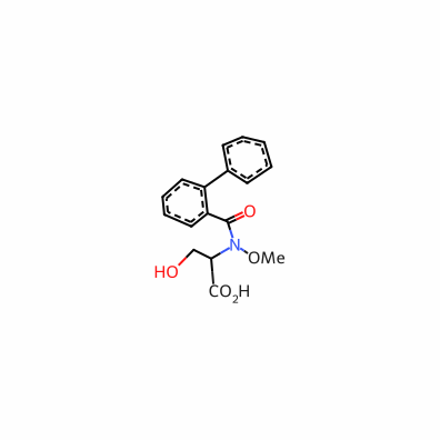 CON(C(=O)c1ccccc1-c1ccccc1)C(CO)C(=O)O